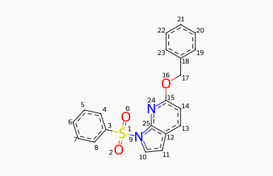 O=S(=O)(c1ccccc1)n1ccc2ccc(OCc3ccccc3)nc21